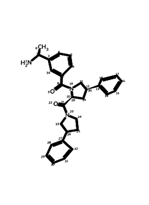 CC(N)c1cccc(C(=O)N2C[C@@H](c3ccccc3)C[C@H]2C(=O)N2CCC(c3ccccc3)C2)c1